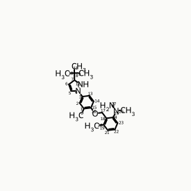 Cc1cc(N2C=CC(C(C)(C)C)N2)ccc1OCc1c(C)cccc1N(C)N